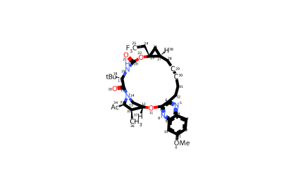 COc1ccc2nc3c(nc2c1)O[C@H]1CN(C(=O)[C@H](C(C)(C)C)NC(=O)O[C@]2(CC(F)(F)F)C[C@H]2CCCCC3)[C@H](C(C)=O)[C@@H]1C